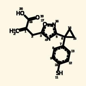 C=C(Cc1nc(C2(c3ccc(S)cc3)CC2)no1)C(=O)O